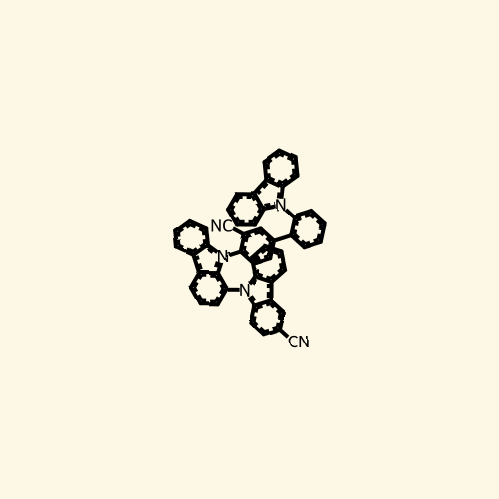 N#Cc1ccc2c(c1)c1ccccc1n2-c1cccc2c3ccccc3n(-c3ccc(-c4ccccc4-n4c5ccccc5c5ccccc54)cc3C#N)c12